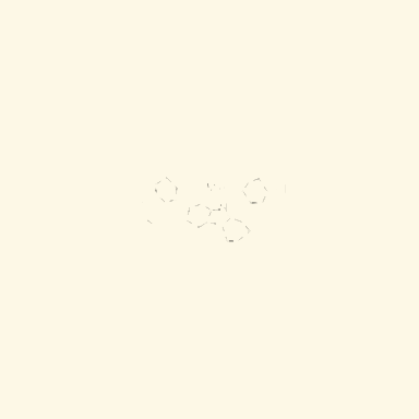 CCC(=O)Oc1c(Cl)cccc1-c1ccc2c3ccccc3n(Cc3ccc(Cl)cc3)c2c1SC